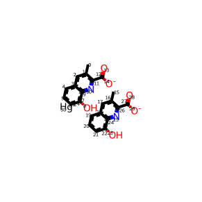 Cc1cc2cccc(O)c2nc1C(=O)[O-].Cc1cc2cccc(O)c2nc1C(=O)[O-].[Hg+2]